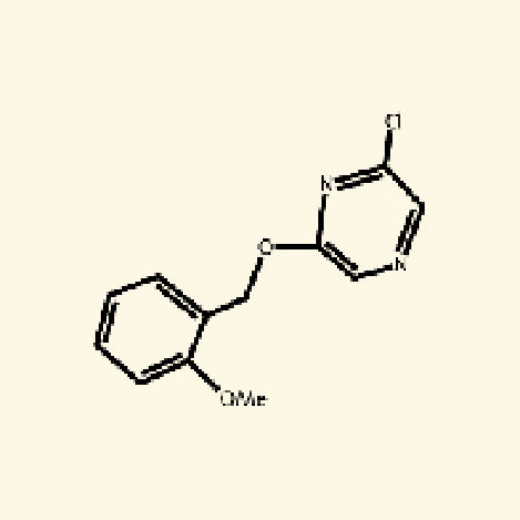 COc1ccccc1COc1cncc(Cl)n1